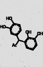 CC(=O)C(c1ccc(O)c(O)c1)c1cccc(O)c1O